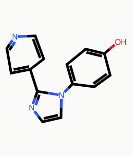 Oc1ccc(-n2ccnc2-c2ccncc2)cc1